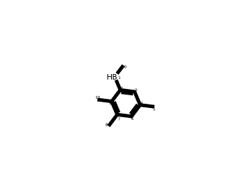 CBc1cc(C)cc(C)c1C